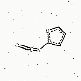 O=C=Nc1[c]cco1